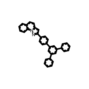 c1ccc(-c2cc(-c3ccccc3)cc(-c3ccc(-c4cc5ccc6ccccc6n5n4)cc3)c2)cc1